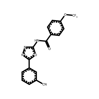 N#Cc1cccc(-c2nnc(NC(=O)c3ccc(OC(F)(F)F)cc3)o2)c1